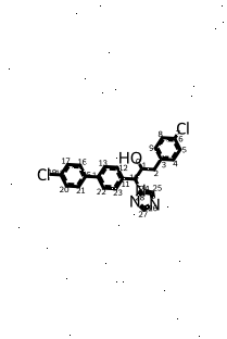 OC(Cc1ccc(Cl)cc1)C(c1ccc(-c2ccc(Cl)cc2)cc1)n1cncn1